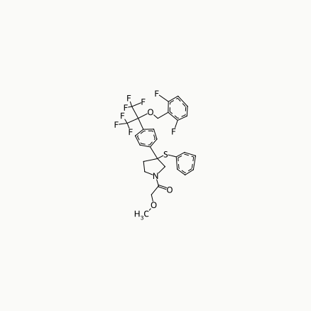 COCC(=O)N1CCC(Sc2ccccc2)(c2ccc(C(OCc3c(F)cccc3F)(C(F)(F)F)C(F)(F)F)cc2)C1